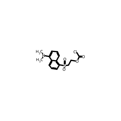 CN(C)c1cccc2c(S(=O)(=O)CCOC(=O)Cl)cccc12